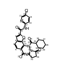 NC(=O)c1ccc2cc(C(=O)Nc3ccc(Cl)cn3)oc2c1N(C(=O)C1CCCCC1)N1CCCC1=O